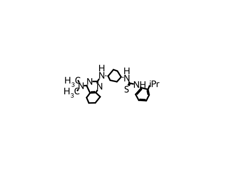 CC(C)c1ccccc1NC(=S)N[C@H]1CC[C@@H](Nc2nc3c(c(N(C)C)n2)CCCC3)CC1